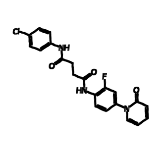 O=C(CCC(=O)Nc1ccc(-n2ccccc2=O)cc1F)Nc1ccc(Cl)cc1